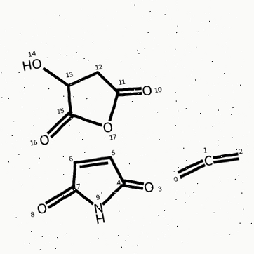 C=C=C.O=C1C=CC(=O)N1.O=C1CC(O)C(=O)O1